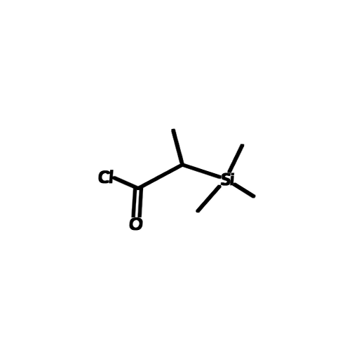 CC(C(=O)Cl)[Si](C)(C)C